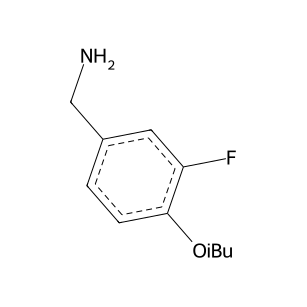 CC(C)COc1ccc(CN)cc1F